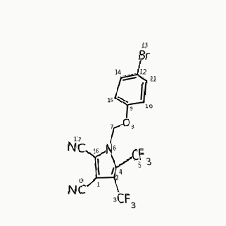 N#Cc1c(C(F)(F)F)c(C(F)(F)F)n(COc2ccc(Br)cc2)c1C#N